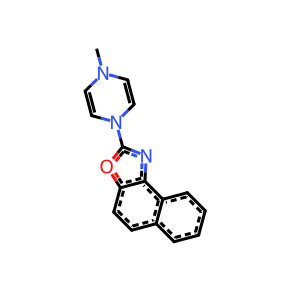 CN1C=CN(c2nc3c(ccc4ccccc43)o2)C=C1